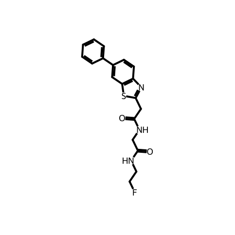 O=C(CNC(=O)Cc1nc2ccc(-c3ccccc3)cc2s1)NCCF